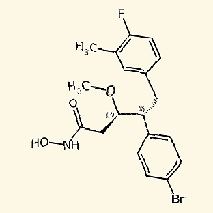 CO[C@H](CC(=O)NO)[C@H](Cc1ccc(F)c(C)c1)c1ccc(Br)cc1